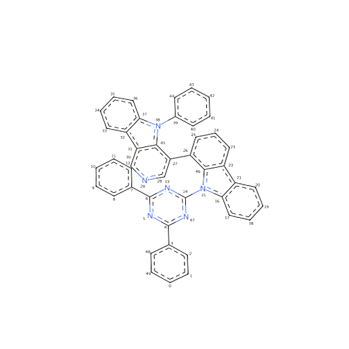 c1ccc(-c2nc(-c3ccccc3)nc(-n3c4ccccc4c4cccc(-c5cncc6c7ccccc7n(-c7ccccc7)c56)c43)n2)cc1